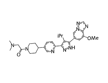 COc1cc(-c2[nH]nc(-c3ccc(C4CCN(C(=O)CN(C)C)CC4)cn3)c2C(C)C)cn2ncnc12